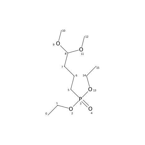 CCOP(=O)(CCCC(OC)OC)OCC